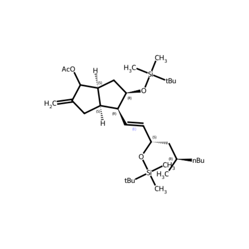 C=C1C[C@@H]2[C@H](/C=C/[C@H](C[C@H](C)CCCC)O[Si](C)(C)C(C)(C)C)[C@H](O[Si](C)(C)C(C)(C)C)C[C@@H]2C1OC(C)=O